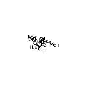 CC1Cc2c(n(C)c(=O)n(CCOCCO)c2=O)N=C(Oc2cccc(OC(F)(F)F)c2)C1C